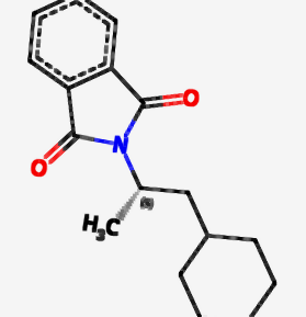 C[C@@H](CC1CCCCC1)N1C(=O)c2ccccc2C1=O